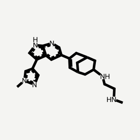 CNCCNC1CC2C=C(c3cnc4[nH]cc(-c5cnn(C)c5)c4c3)CC(C2)C1